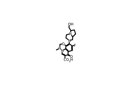 CN1COc2c(N3CCN4C(CO)CCC4C3)c(F)cc3c(=O)c(C(=O)O)cn1c23